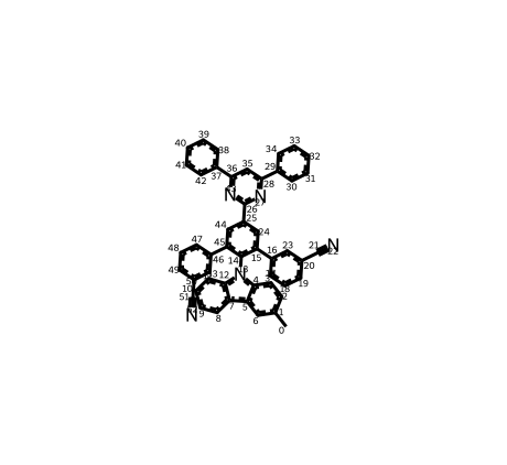 Cc1ccc2c(c1)c1ccccc1n2-c1c(-c2cccc(C#N)c2)cc(-c2nc(-c3ccccc3)cc(-c3ccccc3)n2)cc1-c1cccc(C#N)c1